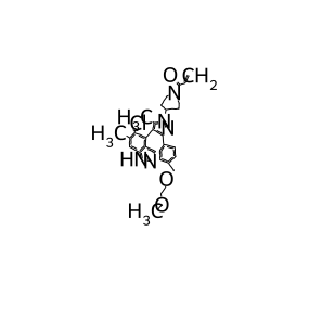 C=CC(=O)N1CCC(n2nc(-c3ccc(COCCOC)cc3)c(-c3c(Cl)c(C)cc4[nH]ncc34)c2C)CC1